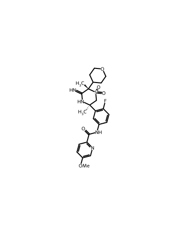 COc1ccc(C(=O)Nc2ccc(F)c([C@]3(C)CS(=O)(=O)[C@@](C)(C4CCOCC4)C(=N)N3)c2)nc1